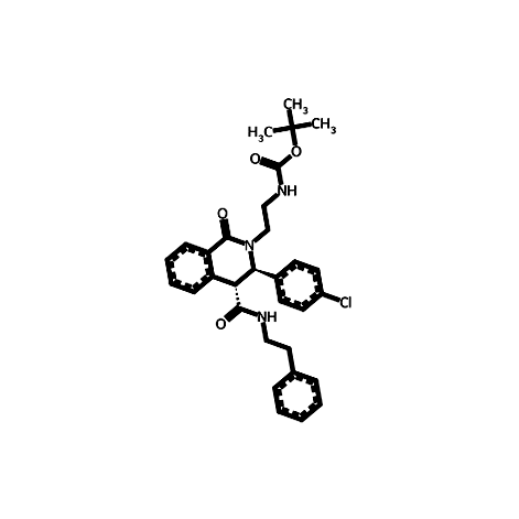 CC(C)(C)OC(=O)NCCN1C(=O)c2ccccc2[C@@H](C(=O)NCCc2ccccc2)[C@@H]1c1ccc(Cl)cc1